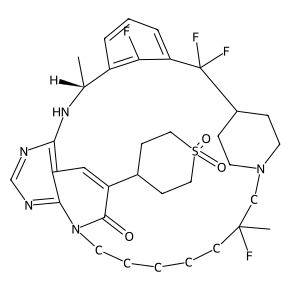 C[C@H]1Nc2ncnc3c2cc(C2CCS(=O)(=O)CC2)c(=O)n3CCCCCC(C)(F)CN2CCC(CC2)C(F)(F)c2cccc1c2F